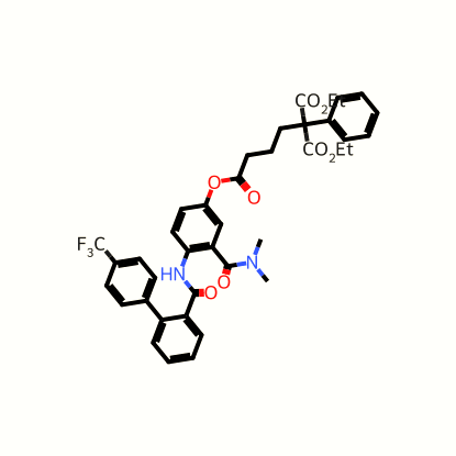 CCOC(=O)C(CCCC(=O)Oc1ccc(NC(=O)c2ccccc2-c2ccc(C(F)(F)F)cc2)c(C(=O)N(C)C)c1)(C(=O)OCC)c1ccccc1